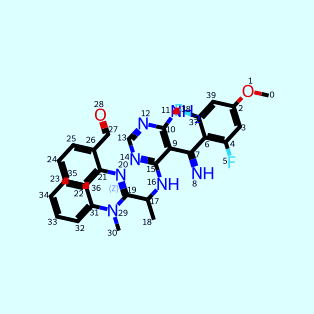 COc1cc(F)c(C(=N)c2c(N)ncnc2NC(C)/C(=N/c2ccccc2C=O)N(C)c2ccccc2)c(F)c1